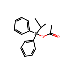 CC(=O)O[Si](c1ccccc1)(c1ccccc1)C(C)C